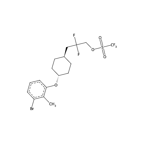 Cc1c(Br)cccc1O[C@H]1CC[C@H](CC(F)(F)COS(=O)(=O)C(F)(F)F)CC1